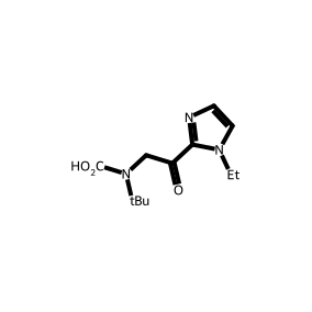 CCn1ccnc1C(=O)CN(C(=O)O)C(C)(C)C